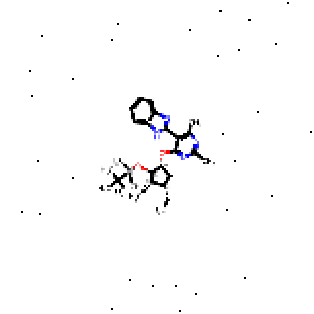 CC[C@H]1C[C@@H](Oc2nc(C)nc(C)c2-c2nc3ccccc3[nH]2)[C@H](O[Si](C)(C)C(C)(C)C)[C@@H]1C